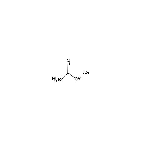 NC(O)=S.[LiH]